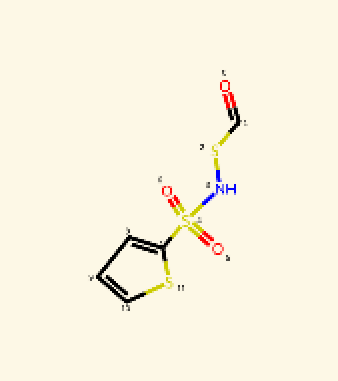 O=[C]SNS(=O)(=O)c1cccs1